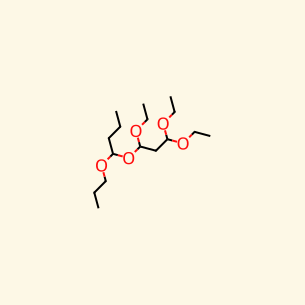 CCCOC(CCC)OC(CC(OCC)OCC)OCC